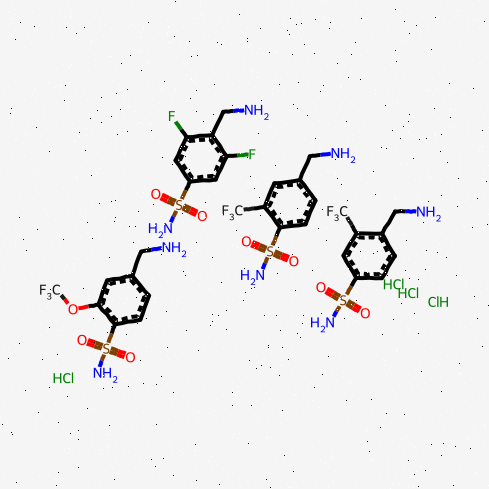 Cl.Cl.Cl.Cl.NCc1c(F)cc(S(N)(=O)=O)cc1F.NCc1ccc(S(N)(=O)=O)c(C(F)(F)F)c1.NCc1ccc(S(N)(=O)=O)c(OC(F)(F)F)c1.NCc1ccc(S(N)(=O)=O)cc1C(F)(F)F